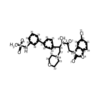 CN(C(=O)Cn1c(=O)oc2ccc(Cl)cc21)C(CN1CCOCC1)c1ccc(-c2cccc(NS(C)(=O)=O)c2)cc1